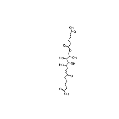 O=C(O)CCCCC(=O)OCC(O)C(O)C(O)C(O)COC(=O)CCCCC(=O)O